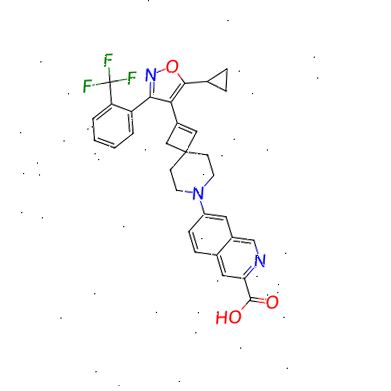 O=C(O)c1cc2ccc(N3CCC4(C=C(c5c(-c6ccccc6C(F)(F)F)noc5C5CC5)C4)CC3)cc2cn1